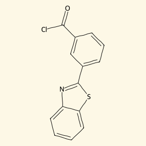 O=C(Cl)c1cccc(-c2nc3ccccc3s2)c1